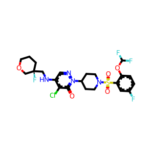 O=c1c(Cl)c(NC[C@@]2(F)CCCOC2)cnn1C1CCN(S(=O)(=O)c2cc(F)ccc2OC(F)F)CC1